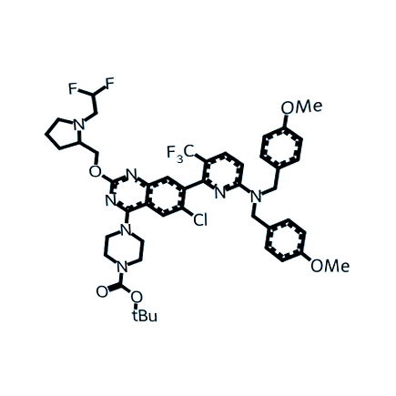 COc1ccc(CN(Cc2ccc(OC)cc2)c2ccc(C(F)(F)F)c(-c3cc4nc(OCC5CCCN5CC(F)F)nc(N5CCN(C(=O)OC(C)(C)C)CC5)c4cc3Cl)n2)cc1